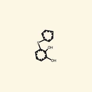 Oc1cccc(Sc2ccccc2)c1O